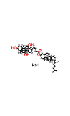 CC(C)CCC[C@@H](C)[C@H]1CC[C@H]2[C@@H]3CC=C4C[C@@H](OC(=O)CC[C@@H](C)[C@H]5CC[C@H]6[C@@H]7[C@H](O)C[C@@H]8C[C@H](O)CC[C@]8(C)[C@H]7C[C@H](O)[C@]56C)CC[C@]4(C)[C@H]3CC[C@]12C.[NaH]